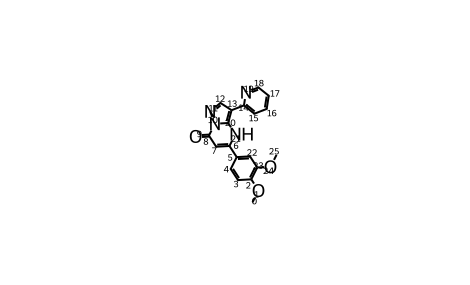 COc1ccc(-c2cc(=O)n3ncc(-c4ccccn4)c3[nH]2)cc1OC